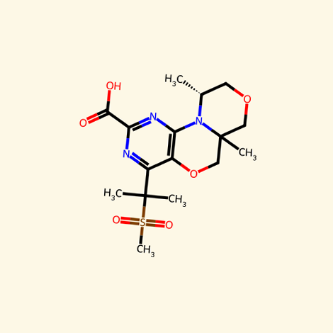 C[C@@H]1COCC2(C)COc3c(nc(C(=O)O)nc3C(C)(C)S(C)(=O)=O)N12